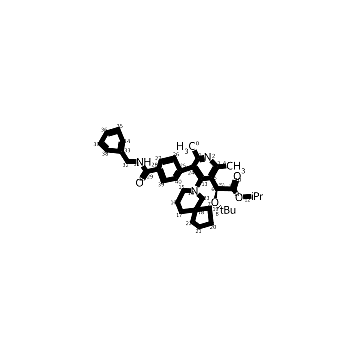 Cc1nc(C)c([C@H](OC(C)(C)C)C(=O)OC(C)C)c(N2CCCC3(CCCC3)C2)c1-c1ccc(C(=O)NCc2ccccc2)cc1